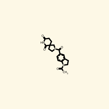 CC(=O)N1CCc2cc(C(=O)N3CCC4(CCC(=O)NC4=O)C3)ccc21